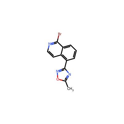 Cc1nc(-c2cccc3c(Br)nccc23)no1